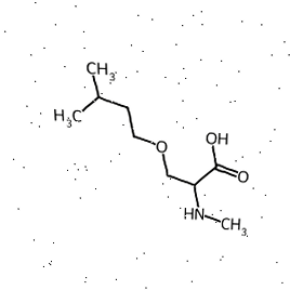 CNC(COCCC(C)C)C(=O)O